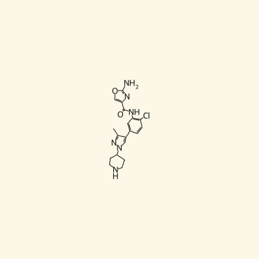 Cc1nn(C2CCNCC2)cc1-c1ccc(Cl)c(NC(=O)c2coc(N)n2)c1